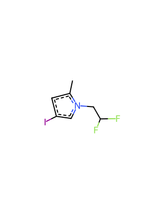 Cc1cc(I)cn1CC(F)F